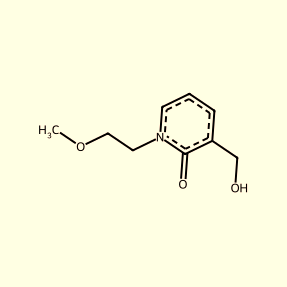 COCCn1cccc(CO)c1=O